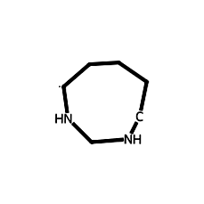 [CH]1CCCCNCN1